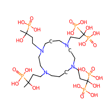 CC(O)(CCN1CCCN(CCC(O)(P(=O)(O)O)P(=O)(O)O)CCN(CCC(O)(P(=O)(O)O)P(=O)(O)O)CCCN(CCC(C)(O)P(=O)(O)O)CC1)P(=O)(O)O